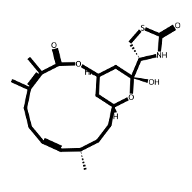 CC1=C(C)C(=O)O[C@@H]2C[C@@H](CC[C@H](C)C=CCC1)O[C@@](O)([C@@H]1CSC(=O)N1)C2